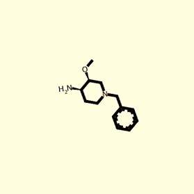 CO[C@H]1CN(Cc2ccccc2)CC[C@H]1N